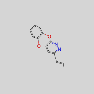 C/C=C/c1cc2c(nn1)Oc1ccccc1O2